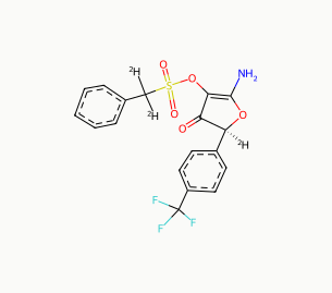 [2H]C([2H])(c1ccccc1)S(=O)(=O)OC1=C(N)O[C@@]([2H])(c2ccc(C(F)(F)F)cc2)C1=O